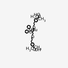 CC(C)(OO)c1ccc(CCCOCCC(CCOCCCc2ccc(C(C)(C)OO)cc2)O[Si](c2ccccc2)(c2ccccc2)C(C)(C)C)cc1